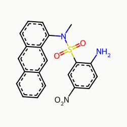 CN(c1cccc2cc3ccccc3cc12)S(=O)(=O)c1cc([N+](=O)[O-])ccc1N